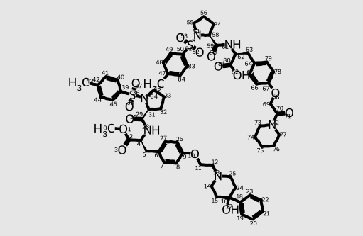 COC(=O)[C@H](Cc1ccc(OCCN2CCC(O)(c3ccccc3)CC2)cc1)NC(=O)[C@@H]1CCCN1S(=O)(=O)c1ccc(C)cc1.Cc1ccc(S(=O)(=O)N2CCC[C@H]2C(=O)N[C@@H](Cc2ccc(OCC(=O)N3CCCCC3)cc2)C(=O)O)cc1